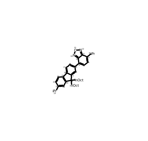 CCCCCCCCC1(CCCCCCCC)c2cc(-c3ccc(C(C)C)c4nonc34)ccc2-c2ccc(C(C)C)cc21